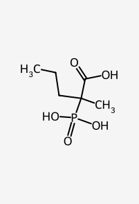 CCCC(C)(C(=O)O)P(=O)(O)O